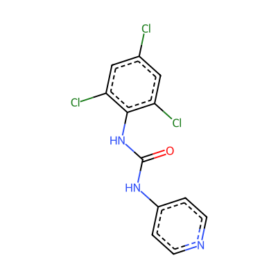 O=C(Nc1ccncc1)Nc1c(Cl)cc(Cl)cc1Cl